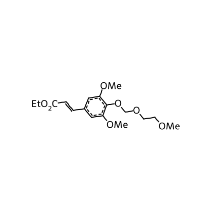 CCOC(=O)/C=C/c1cc(OC)c(OCOCCOC)c(OC)c1